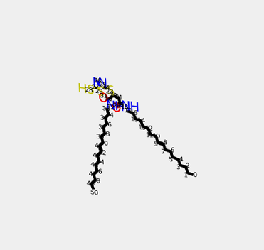 CCCCCCCCC=CCCCCCCCCNC(=O)CC(Sc1nnc(S)s1)C(=O)NCCCCCCCCC=CCCCCCCCC